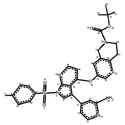 Cc1ccc(S(=O)(=O)n2cc(-c3ccnc(N)c3)c3c(Oc4cnc5c(c4)CN(C(=O)OC(C)(C)C)CC5)ccnc32)cc1